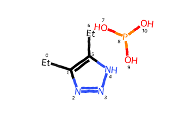 CCc1nn[nH]c1CC.OP(O)O